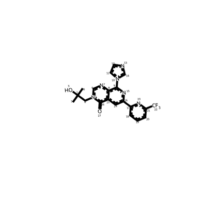 CC(C)(O)Cn1cnc2c(-n3ccnc3)nc(-c3cccc(C(F)(F)F)n3)cc2c1=O